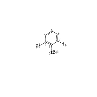 CC(C)(C)c1c(Br)cccc1I